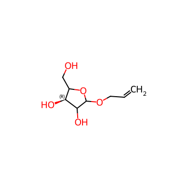 C=CCOC1OC(CO)[C@H](O)C1O